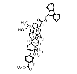 COC(=O)c1ccc(C2=CC[C@]3(C)[C@H]4CC[C@@H]5[C@H]6[C@H](C(C)CO)CC[C@]6(NC(=O)OCC6c7ccccc7-c7ccccc76)CC[C@@]5(C)[C@]4(C)CC[C@H]3C2(C)C)cc1F